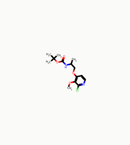 COc1c(OCC(C)NC(=O)OC(C)(C)C)ccnc1Cl